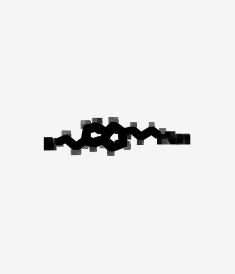 CCCCCCCCCCCCc1ccc2cc(CCBr)ccc2c1